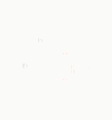 CCCC1O[PH](=S)OCC1CC